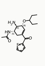 CCC(CC)O[C@@H]1C=C(C(=O)c2cccs2)C[C@H](NC(C)=O)[C@H]1N